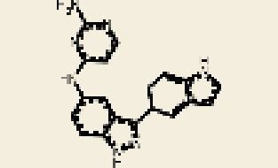 Nc1nccc(Nc2ccc3[nH]nc(C4C=c5cc[nH]c5=CC4)c3c2)n1